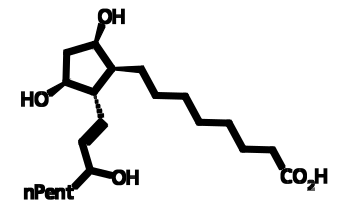 CCCCCC(O)C=C[C@H]1[C@H](CCCCCCCC(=O)O)[C@H](O)C[C@@H]1O